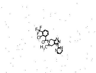 C[C@@H]1Cc2c(nnn2-c2ncccn2)CN1C(=O)c1cccc(C(F)(F)F)c1Cl